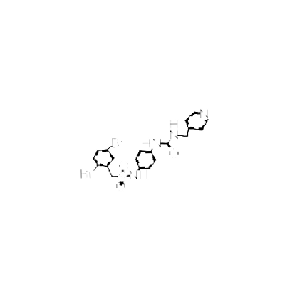 O=C(NCc1ccncc1)Nc1ccc(NS(=O)(=O)Cc2cc(Br)ccc2Br)cc1